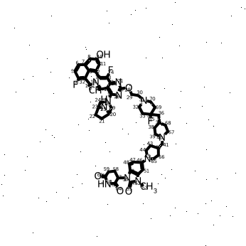 C#Cc1c(F)ccc2cc(O)cc(-c3ncc4c(N5CC6CCC(C5)N6)nc(OCCN5CCC(F)(CC6CCN(CC7CCN(c8ccc9c(c8)n(C)c(=O)n9C8CCC(=O)NC8=O)CC7)CC6)CC5)nc4c3F)c12